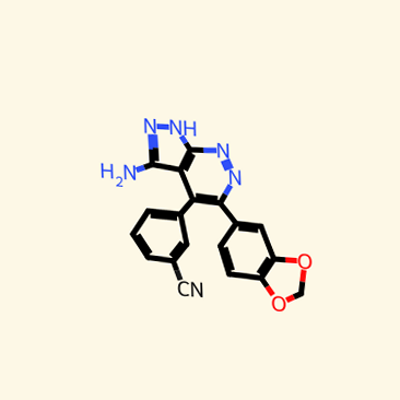 N#Cc1cccc(-c2c(-c3ccc4c(c3)OCO4)nnc3[nH]nc(N)c23)c1